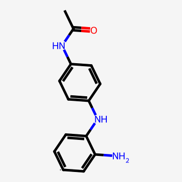 CC(=O)Nc1ccc(Nc2cc[c]cc2N)cc1